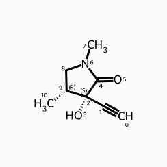 C#C[C@]1(O)C(=O)N(C)C[C@H]1C